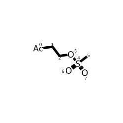 CC(=O)CCOS(C)(=O)=O